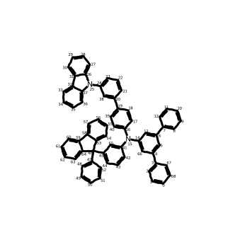 c1ccc(-c2cc(-c3ccccc3)cc(N(c3ccc(-c4cccc(-n5c6ccccc6c6ccccc65)c4)cc3)c3cccc(C4(c5ccccc5)c5ccccc5-c5ccccc54)c3)c2)cc1